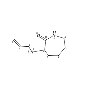 C=CCNC1CCCCNC1=O